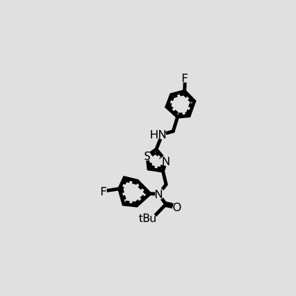 CC(C)(C)C(=O)N(Cc1csc(NCc2ccc(F)cc2)n1)c1ccc(F)cc1